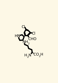 C1CCNCC1.NCCCC[C@H](N)C(=O)O.O=Cc1ccc(Cl)cc1Cl